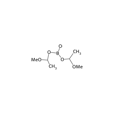 COC(C)OB([O])OC(C)OC